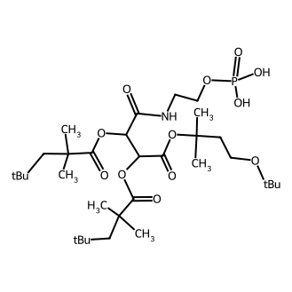 CC(C)(C)CC(C)(C)C(=O)OC(C(=O)NCCOP(=O)(O)O)C(OC(=O)C(C)(C)CC(C)(C)C)C(=O)OC(C)(C)CCOC(C)(C)C